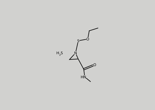 CCOSN1CC1C(=O)NC.S